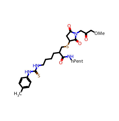 CCCCCNC(=O)C(CCCCNC(=S)Nc1ccc(C)cc1)CSC1CC(=O)N(CC(=O)COC)C1=O